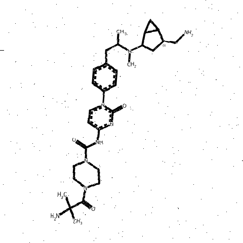 CC(Cc1ccc(-n2ccc(NC(=O)N3CCN(C(=O)C(C)(C)N)CC3)nc2=O)cc1)N(C)C1C[C@H](CN)C2CC21